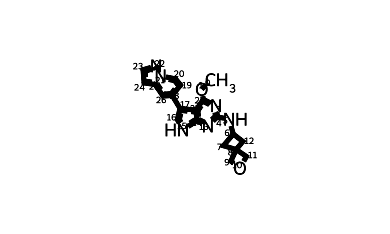 COc1nc(NC2CC3(COC3)C2)nc2[nH]cc(-c3ccn4nccc4c3)c12